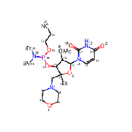 CCC1(CN2CCOCC2)OC(n2ccc(=O)[nH]c2=O)C(OC)C1OP(OCCC#N)N(C(C)C)C(C)C